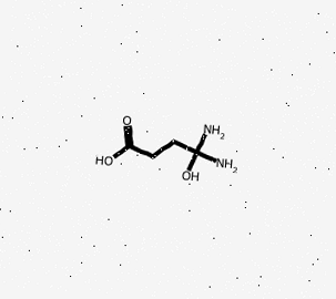 NC(N)(O)CCC(=O)O